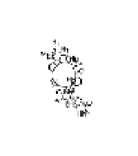 CCn1c(-c2cccnc2[C@H](C)OC)c2c3cc(ccc31)-c1csc(n1)C[C@H](NC(=O)[C@H](C(C)C)N(C)C(=O)N1CCN(C(=O)[C@@H]3CN3)CC1)C(=O)N1CCC[C@H](N1)C(=O)OCC(C)(C)C2